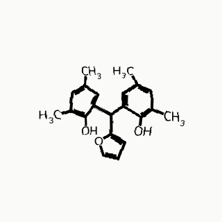 Cc1cc(C)c(O)c(C(c2ccco2)c2cc(C)cc(C)c2O)c1